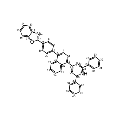 C1=C(c2ccc(-c3ccc(-c4nc5ccccc5o4)cc3)c3ccccc23)N=C(c2ccccc2)NC1c1ccccc1